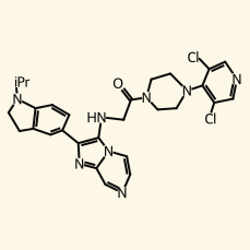 CC(C)N1CCc2cc(-c3nc4cnccn4c3NCC(=O)N3CCN(c4c(Cl)cncc4Cl)CC3)ccc21